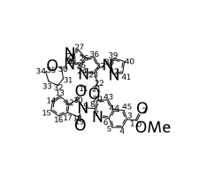 COC(=O)c1ccc2nc(N3C(=O)c4ccccc4C3=O)c(OCc3nc4c(cnn4[C@@H]4CCCCO4)cc3-n3cccn3)cc2c1